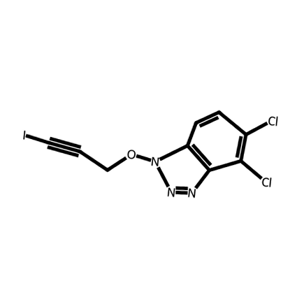 Clc1ccc2c(nnn2OCC#CI)c1Cl